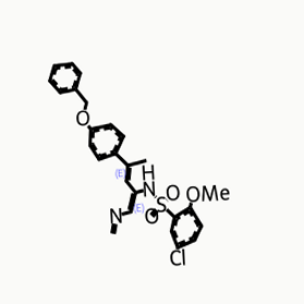 C=N/C=C(\C=C(/C)c1ccc(OCc2ccccc2)cc1)NS(=O)(=O)c1cc(Cl)ccc1OC